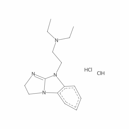 CCN(CC)CCN1C2=NCCN2c2ccccc21.Cl.Cl